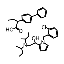 CCC(C(=O)O)c1ccc(-c2ccccc2)cc1.CCC(C)N(CC(O)c1cccn1Cc1ccccc1Cl)C(C)CC